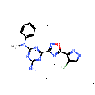 CN(c1ccccc1)c1nc(N)nc(-c2noc(-c3n[nH]cc3Cl)n2)n1